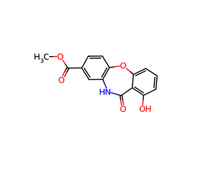 COC(=O)c1ccc2c(c1)NC(=O)c1c(O)cccc1O2